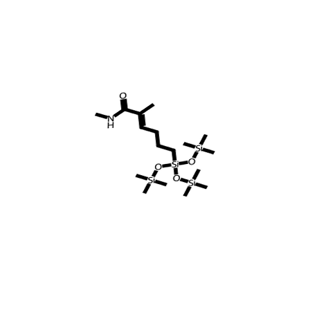 CNC(=O)C(C)=CCCC[Si](O[Si](C)(C)C)(O[Si](C)(C)C)O[Si](C)(C)C